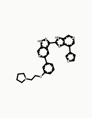 c1cc(OCCN2CCCC2)cc(-c2cc3c(-c4nc5c(-c6ccoc6)cncc5[nH]4)n[nH]c3cn2)c1